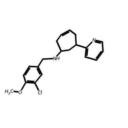 COc1ccc(CNC2CC=CCC(c3ccccn3)C2)cc1Cl